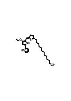 CCOc1cc(-c2ccc[nH]2)[nH]c1C=C1C=CC(CCCCCCCCCCCCO)=N1